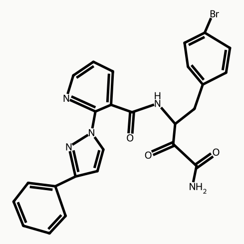 NC(=O)C(=O)C(Cc1ccc(Br)cc1)NC(=O)c1cccnc1-n1ccc(-c2ccccc2)n1